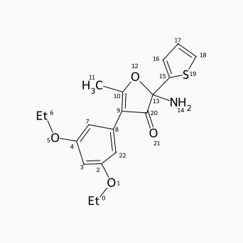 CCOc1cc(OCC)cc(C2=C(C)OC(N)(c3cccs3)C2=O)c1